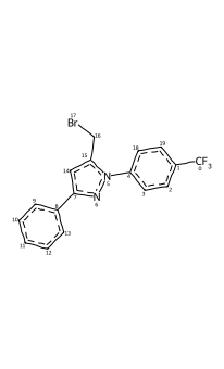 FC(F)(F)c1ccc(-n2nc(-c3ccccc3)cc2CBr)cc1